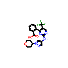 O=C(O)c1ccccc1-c1nc(Nc2cnn(C3CCOCC3)c2)ncc1C(F)(F)F